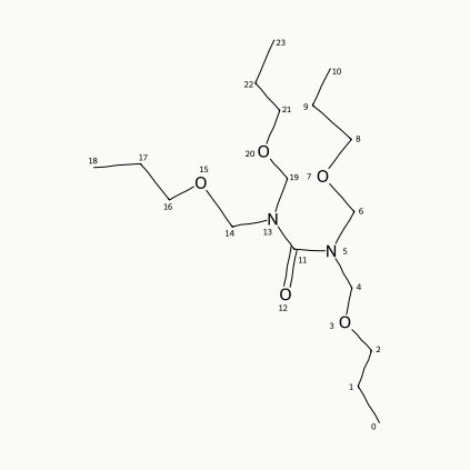 CCCOCN(COCCC)C(=O)N(COCCC)COCCC